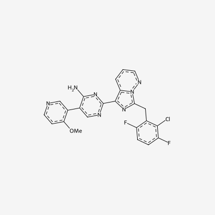 COc1ccncc1-c1cnc(-c2nc(Cc3c(F)ccc(F)c3Cl)n3ncccc23)nc1N